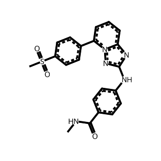 CNC(=O)c1ccc(Nc2nc3cccc(-c4ccc(S(C)(=O)=O)cc4)n3n2)cc1